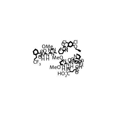 C#CCOc1cc(-n2nc3n(c2=O)CCCC3)c(Cl)cc1Cl.CCS(=O)(=O)c1cccnc1S(=O)(=O)NC(=O)Nc1nc(OC)cc(OC)n1.COc1nc(C)nc(NC(=O)NS(=O)(=O)c2ccccc2CCC(F)(F)F)n1.CP(=O)(O)CCC(N)C(=O)O